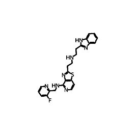 Fc1cccnc1CNc1nccc2sc(CCNCCc3nc4ccccc4[nH]3)nc12